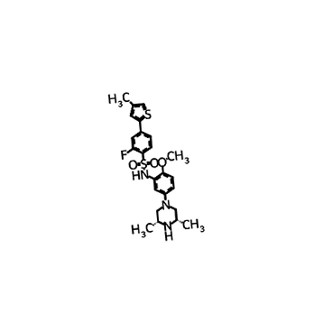 COc1ccc(N2C[C@@H](C)N[C@@H](C)C2)cc1NS(=O)(=O)c1ccc(-c2cc(C)cs2)cc1F